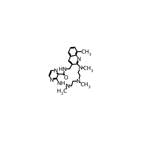 C=NCCN(C)CCN(C)c1nc2c(C)cccc2cc1CNC(=O)c1nccnc1N